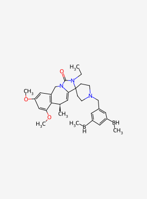 CBc1cc(BC)cc(CN2CCC3(CC2)C2=C[C@@H](C)c4c(cc(OC)cc4OC)CN2C(=O)N3CC)c1